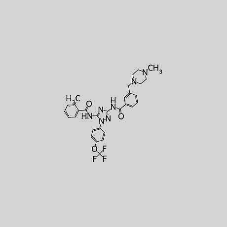 Cc1ccccc1C(=O)Nc1nc(NC(=O)c2cccc(CN3CCN(C)CC3)c2)nn1-c1ccc(OC(F)(F)F)cc1